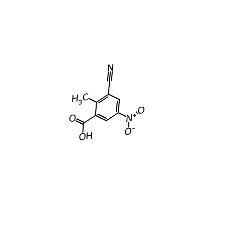 Cc1c(C#N)cc([N+](=O)[O-])cc1C(=O)O